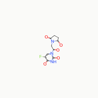 O=C1CCC(=O)N1CC(=O)n1cc(F)c(=O)[nH]c1=O